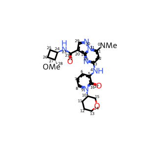 CNc1cc(Nc2cccn([C@@H]3CCCOC3)c2=O)nc2c(C(=O)N[C@@H]3CC[C@H]3OC)cnn12